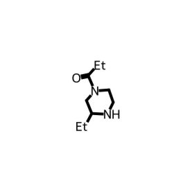 CCC(=O)N1CCNC(CC)C1